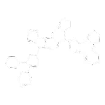 c1ccc2c(c1)Cc1c(ccc3c1c1ccccc1n3-c1ccc3c4ccccc4c4ccccc4c3c1)N2c1ccc2c3ccccc3c3ccccc3c2c1